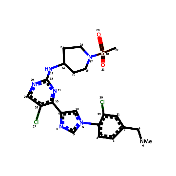 CNCc1ccc(-n2cnc(-c3nc(NC4CCN(S(C)(=O)=O)CC4)ncc3Cl)c2)c(Cl)c1